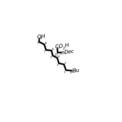 CCC(C)CCCCCCCCCO.CCCCCCCCCCCC(=O)O